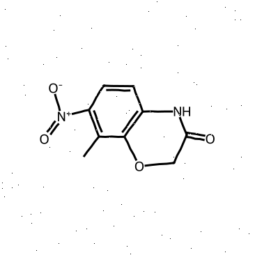 Cc1c([N+](=O)[O-])ccc2c1OCC(=O)N2